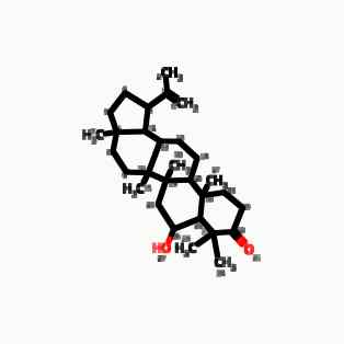 C=C(C)C1CCC2(C)CCC3(C)C(CCC4C5(C)CCC(=O)C(C)(C)C5C(O)CC43C)C12